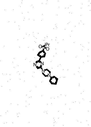 CC(C)S(=O)(=O)c1ccc(-c2cncc(N3CCN(c4ccccc4)CC3)n2)cc1